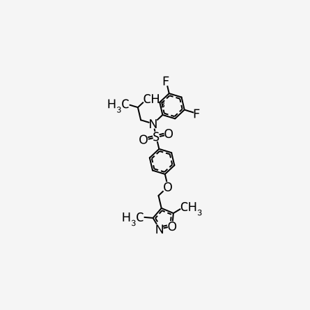 Cc1noc(C)c1COc1ccc(S(=O)(=O)N(CC(C)C)c2cc(F)cc(F)c2)cc1